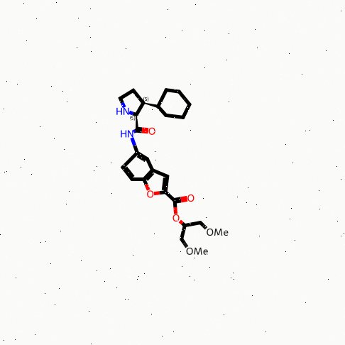 COCC(COC)OC(=O)c1cc2cc(NC(=O)[C@H]3NCC[C@H]3C3CCCCC3)ccc2o1